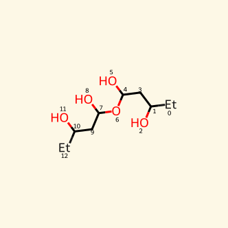 CCC(O)CC(O)OC(O)CC(O)CC